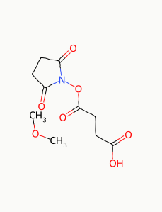 COC.O=C(O)CCC(=O)ON1C(=O)CCC1=O